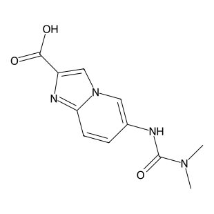 CN(C)C(=O)Nc1ccc2nc(C(=O)O)cn2c1